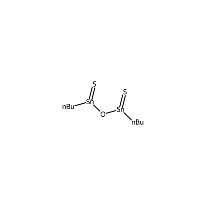 CCC[CH2][Sn](=[S])[O][Sn](=[S])[CH2]CCC